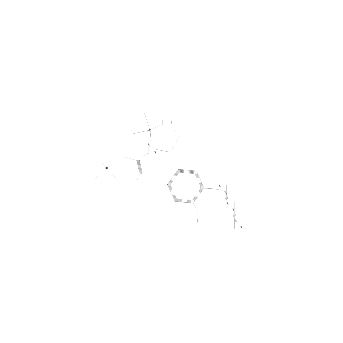 CC(C)(C)OC(=O)N1[C@@H](c2ccc(Cl)c(N=[N+]=[N-])c2)COC1(C)C